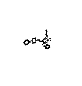 CCCCN1CC(CCN2CCN(c3ccccc3)CC2)c2nc3ccccc3n2C1=O